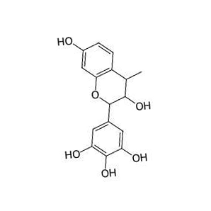 CC1c2ccc(O)cc2OC(c2cc(O)c(O)c(O)c2)C1O